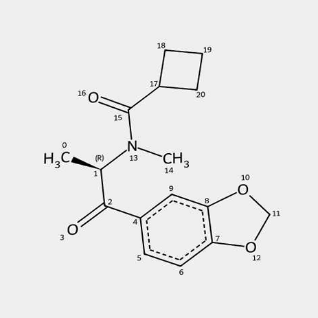 C[C@H](C(=O)c1ccc2c(c1)OCO2)N(C)C(=O)C1CCC1